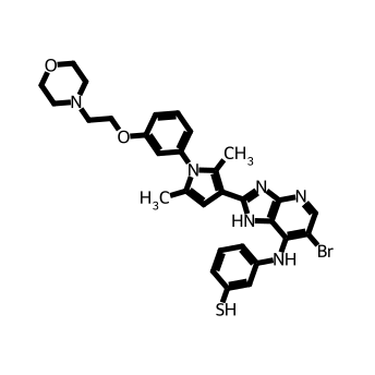 Cc1cc(-c2nc3ncc(Br)c(Nc4cccc(S)c4)c3[nH]2)c(C)n1-c1cccc(OCCN2CCOCC2)c1